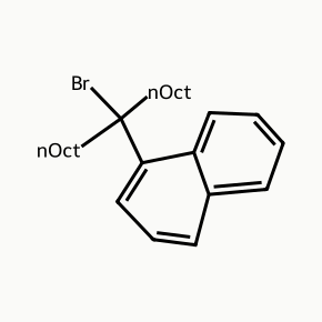 CCCCCCCCC(Br)(CCCCCCCC)c1cccc2ccccc12